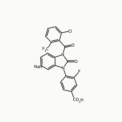 O=C(O)c1ccc(-n2c(=O)n(C(=O)c3c(Cl)cccc3C(F)(F)F)c3ccccc32)c(F)c1.[NaH]